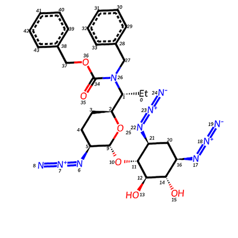 CC[C@H]([C@@H]1CC[C@H](N=[N+]=[N-])[C@@H](O[C@H]2[C@H](O)[C@@H](O)[C@H](N=[N+]=[N-])C[C@@H]2N=[N+]=[N-])O1)N(Cc1ccccc1)C(=O)OCc1ccccc1